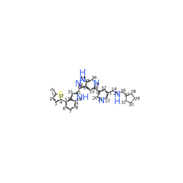 Cc1ccc(-c2cccc3[nH]c(-c4n[nH]c5cnc(-c6cncc(CNCC7CCCC7)c6)cc45)cc23)s1